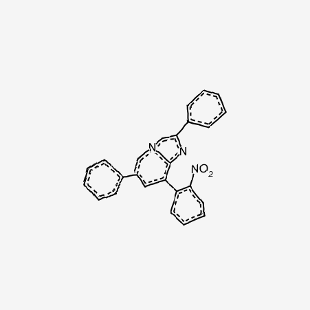 O=[N+]([O-])c1ccccc1-c1cc(-c2ccccc2)cn2cc(-c3ccccc3)nc12